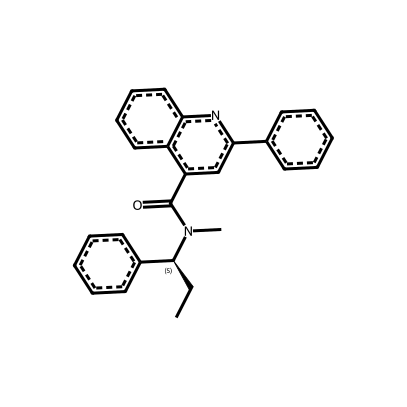 CC[C@@H](c1ccccc1)N(C)C(=O)c1cc(-c2ccccc2)nc2ccccc12